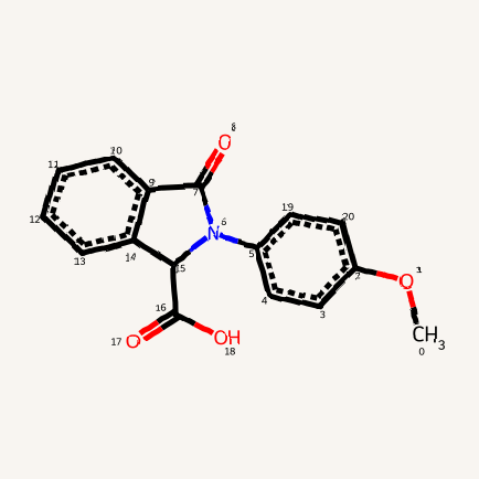 COc1ccc(N2C(=O)c3ccccc3C2C(=O)O)cc1